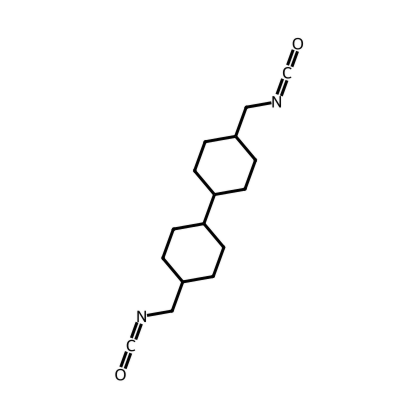 O=C=NCC1CCC(C2CCC(CN=C=O)CC2)CC1